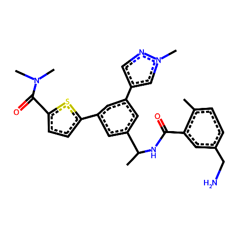 Cc1ccc(CN)cc1C(=O)NC(C)c1cc(-c2cnn(C)c2)cc(-c2ccc(C(=O)N(C)C)s2)c1